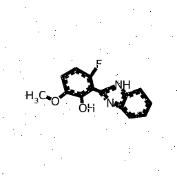 COc1ccc(F)c(-c2nc3ccccc3[nH]2)c1O